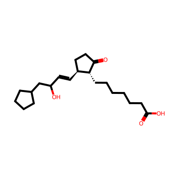 O=C(O)CCCCCC[C@H]1C(=O)CC[C@@H]1/C=C/C(O)CC1CCCC1